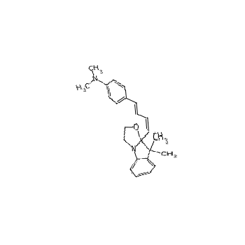 CN(C)c1ccc(/C=C/C=C\C23OCCN2c2ccccc2C3(C)C)cc1